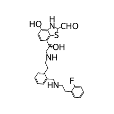 O=CC1Nc2c(O)ccc([C@@H](O)CNCCc3ccccc3CNCCc3ccccc3F)c2S1